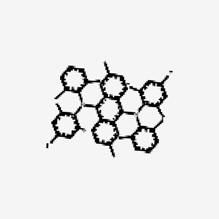 Cc1ccc2c(N(c3c(C)cccc3C)c3c(F)cc(F)cc3F)c3cc(C)ccc3c(N(c3c(C)cccc3C)c3c(F)cc(F)cc3F)c2c1